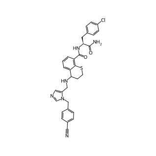 N#Cc1ccc(Cn2cncc2CNC2CCSc3c(C(=O)N[C@@H](Cc4ccc(Cl)cc4)C(N)=O)cccc32)cc1